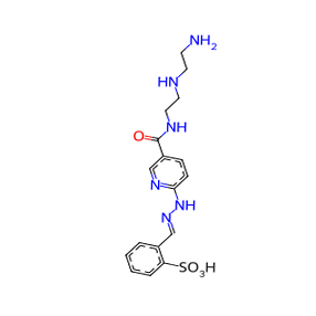 NCCNCCNC(=O)c1ccc(NN=Cc2ccccc2S(=O)(=O)O)nc1